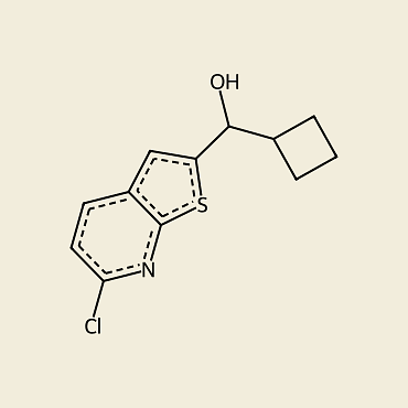 OC(c1cc2ccc(Cl)nc2s1)C1CCC1